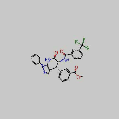 COC(=O)c1cccc([C@@H]2c3cnn(-c4ccccc4)c3NC(=O)[C@H]2NC(=O)c2cccc(C(F)(F)F)c2)c1